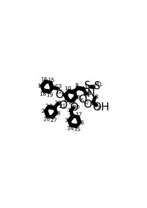 O=C(O)CN1C(=O)/C(=C\c2cc(OCc3ccccc3)c(OCc3ccccc3)c(OCc3ccccc3)c2)SC1=S